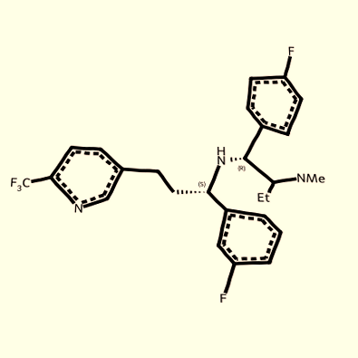 CCC(NC)[C@H](N[C@@H](CCc1ccc(C(F)(F)F)nc1)c1cccc(F)c1)c1ccc(F)cc1